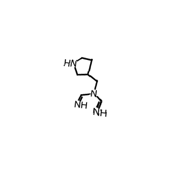 N=CN(C=N)CC1CCNC1